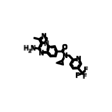 Cc1ncn2c1c(N)nc1ccc(C(=O)N(Cc3ccc(C(F)(F)F)cn3)C3CC3)cc12